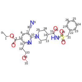 CCOC(=O)c1cc(C#N)c(N2CCC(C(=O)NS(=O)(=O)Cc3ccccc3)CC2)nc1CCOC